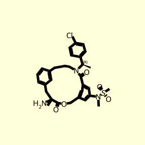 C[C@H](c1ccc(Cl)cc1)N1CCCc2cccc(c2)CC(C)(N)C(=O)OCc2cc(cc(N(C)S(C)(=O)=O)c2)C1=O